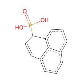 O=P(O)(O)C1C=Cc2cccc3cccc1c23